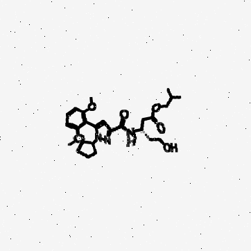 COc1cccc(OC)c1-c1cc(C(=O)N[C@@H](CCO)CC(=O)OCC(C)C)nn1C1CCCC1